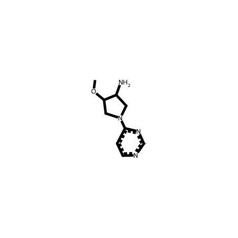 COC1CN(c2ccn[c]n2)CC1N